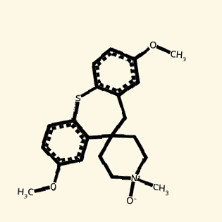 COc1ccc2c(c1)CC1(CC[N+](C)([O-])CC1)c1cc(OC)ccc1S2